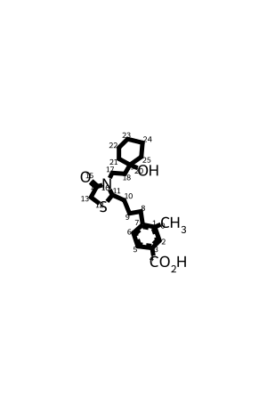 Cc1cc(C(=O)O)ccc1CCCC1SCC(=O)N1CCC1(O)CCCCC1